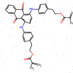 C=C(C)C(=O)OCCc1ccc(Nc2ccc(Nc3ccc(CCOC(=O)C(=C)C)cc3)c3c2C(=O)c2ccccc2C3=O)cc1